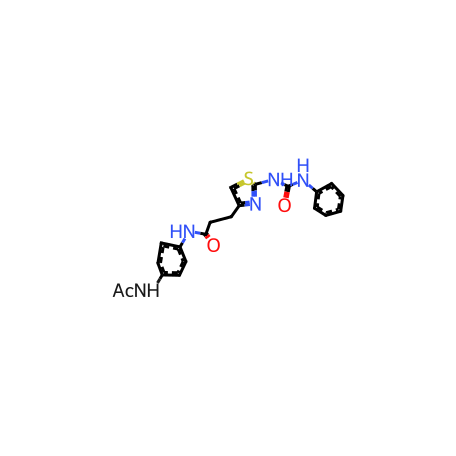 CC(=O)Nc1ccc(NC(=O)CCc2csc(NC(=O)Nc3ccccc3)n2)cc1